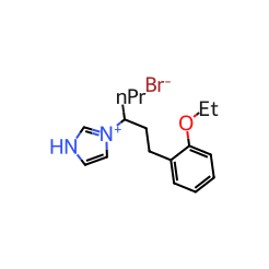 CCCC(CCc1ccccc1OCC)[n+]1cc[nH]c1.[Br-]